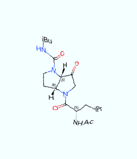 CCC(C)NC(=O)N1CC[C@@H]2[C@H]1C(=O)CN2C(=O)[C@H](CC(C)C)NC(C)=O